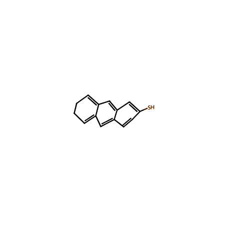 Sc1ccc2cc3c(cc2c1)=CCCC=3